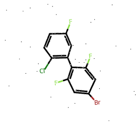 Fc1[c]c(-c2c(F)cc(Br)cc2F)c(Cl)cc1